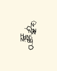 Cc1cc(N2CCCC2)c2nnc([C@@H](COCc3ccccc3)NC(=O)C(C)(C)N)n2c1